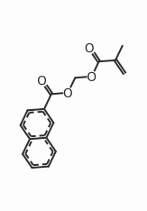 C=C(C)C(=O)OCOC(=O)c1ccc2ccccc2c1